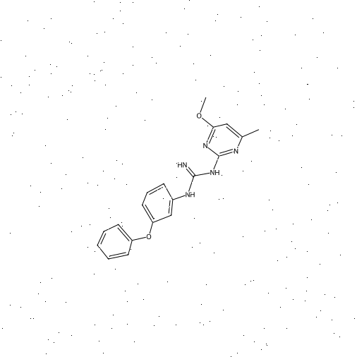 COc1cc(C)nc(NC(=N)Nc2cccc(Oc3ccccc3)c2)n1